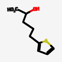 O=C(O)C(O)CCCc1cccs1